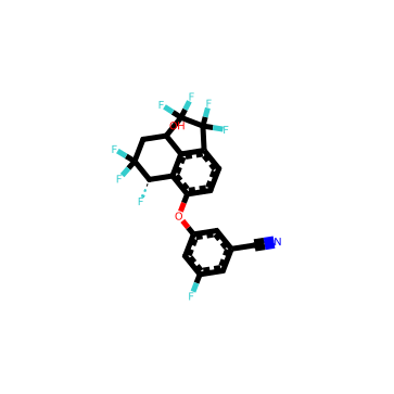 N#Cc1cc(F)cc(Oc2ccc3c4c2[C@H](F)C(F)(F)C[C@@]4(O)C(F)(F)C3(F)F)c1